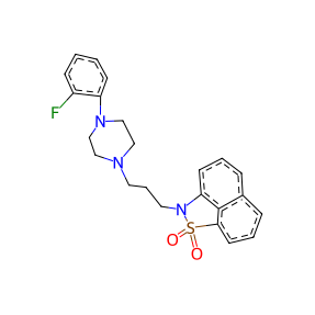 O=S1(=O)c2cccc3cccc(c23)N1CCCN1CCN(c2ccccc2F)CC1